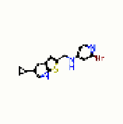 Brc1cc(NCc2cc3cc(C4CC4)cnc3s2)ccn1